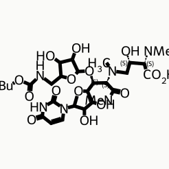 CNC(=O)[C@H]([C@H](OC1OC(CNC(=O)OC(C)(C)C)C(O)C1O)C1OC(n2ccc(=O)[nH]c2=O)C(O)C1O)N(C)C[C@H](O)[C@H](NC)C(=O)O